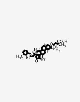 CCN(Cc1cccc(C)c1)C[C@H](O)[C@@]12CC[C@]3(C)[C@H](CC[C@@H]4[C@@]5(C)CC[C@H](OC(=O)CC(C)(C)C(=O)O)C[C@@H]5CC[C@]43C)C1=C(C(C)C)C(=O)C2